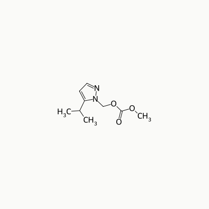 COC(=O)OCn1nccc1C(C)C